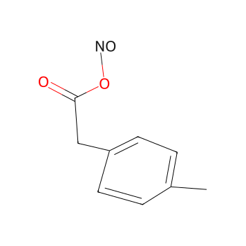 Cc1ccc(CC(=O)ON=O)cc1